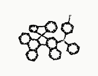 Fc1ccc(N(c2ccccc2)c2cc3c(c4ccccc24)-c2c(c4ccccc4c4ccccc24)C32c3ccccc3-c3ccccc32)cc1